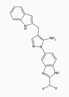 Nc1c(Cc2cc3ccccc3[nH]2)cnn1-c1ccc2[nH]c(C(F)F)nc2c1